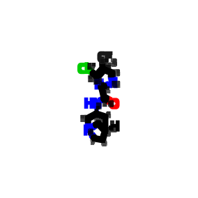 O=C(N[C@@H]1C[C@H]2CCN(C2)C1)c1ncc(C(F)(F)F)c(Cl)n1